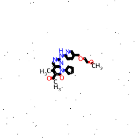 COCCOCc1ccc(Nc2ncc3c(C)c(C(C)=O)c(=O)n(C4CCCC4)c3n2)nc1